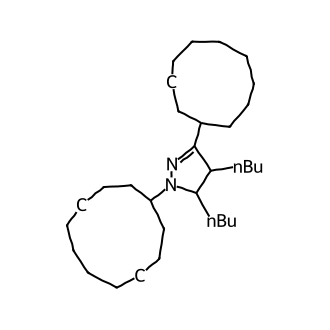 CCCCC1C(C2CCCCCCCCC2)=NN(C2CCCCCCCCCC2)C1CCCC